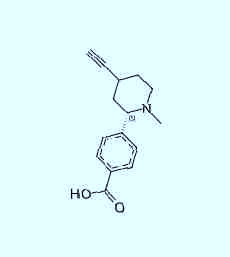 C#CC1CCN(C)[C@H](c2ccc(C(=O)O)cc2)C1